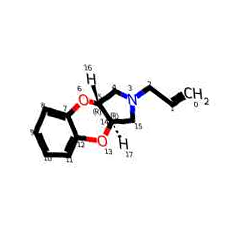 C=CCN1C[C@H]2Oc3ccccc3O[C@@H]2C1